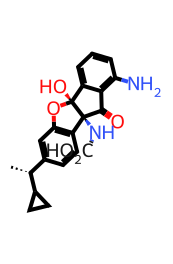 C[C@H](c1ccc2c(c1)O[C@]1(O)c3cccc(N)c3C(=O)[C@]21NC(=O)O)C1CC1